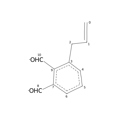 C=CCc1cccc([C]=O)c1[C]=O